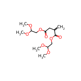 C=C(CC(=O)OCC(OC)OC)C(=O)OCC(OC)OC